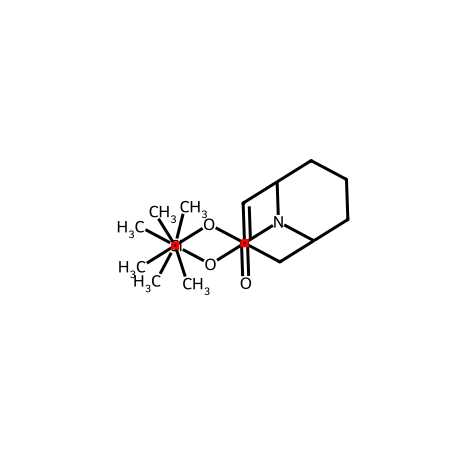 CC(C)(C)OC(=O)N1C2C=C(O[Si](C)(C)C)CC1CCC2